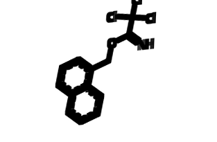 N=C(OCc1cccc2ccccc12)C(Cl)(Cl)Cl